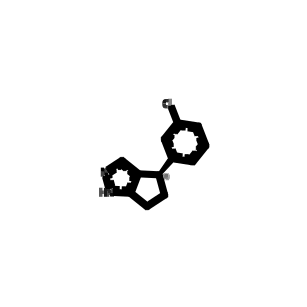 Clc1cccc([C@H]2CCc3[nH]ncc32)c1